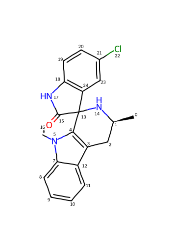 C[C@H]1Cc2c(n(C)c3ccccc23)C2(N1)C(=O)Nc1ccc(Cl)cc12